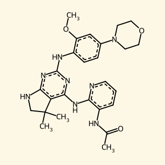 COc1cc(N2CCOCC2)ccc1Nc1nc2c(c(Nc3ncccc3NC(C)=O)n1)C(C)(C)CN2